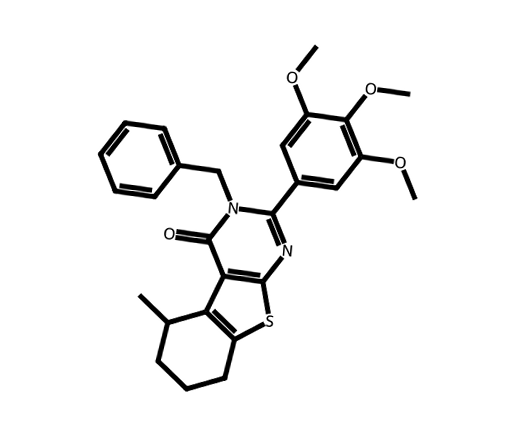 COc1cc(-c2nc3sc4c(c3c(=O)n2Cc2ccccc2)C(C)CCC4)cc(OC)c1OC